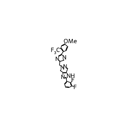 COc1ccc(-c2cnc(CN3Cc4nc(-c5cccc(F)c5F)[nH]c4C=N3)cn2)c(C(F)(F)F)c1